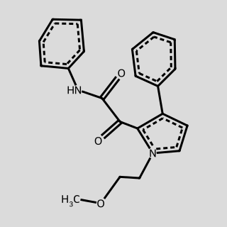 COCCn1ccc(-c2ccccc2)c1C(=O)C(=O)Nc1ccccc1